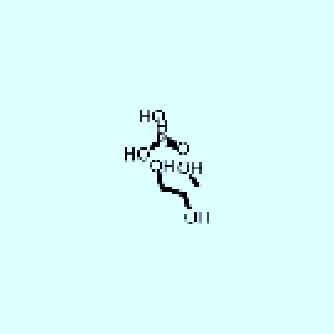 CO.O=[PH](O)O.OCCO